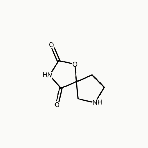 O=C1NC(=O)C2(CCNC2)O1